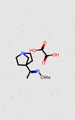 CON=C(C)C12CCN(CC1)C2.O=C(O)C(=O)O